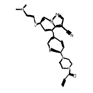 C#CC(=O)N1CCN(c2ccc(-c3cc(OCCN(C)C)cn4ncc(C#N)c34)cn2)CC1